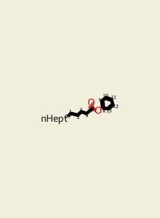 CCCCCCCCCCCC(=O)Oc1cc[c]cc1